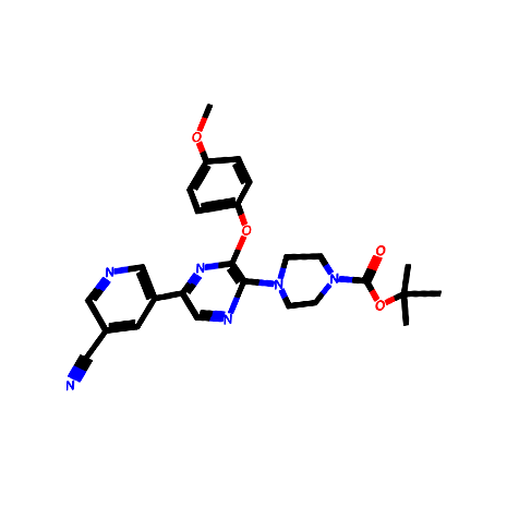 COc1ccc(Oc2nc(-c3cncc(C#N)c3)cnc2N2CCN(C(=O)OC(C)(C)C)CC2)cc1